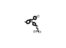 CCN(CC)CCOc1ccc(-n2c(-c3ccc(Cl)cc3)cc3cc(C)ccc32)cc1